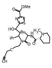 C#CCCCCN(C(=O)C(NC(=O)[C@H]1CCCCN1C)C(C)CC)C(CC(O)c1nc(C(=O)OC)cs1)C(C)C